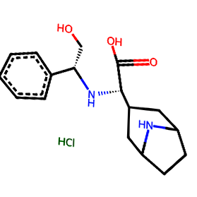 Cl.O=C(O)[C@@H](N[C@@H](CO)c1ccccc1)C1CC2CCC(C1)N2